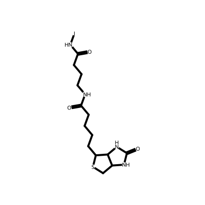 O=C(CCCNC(=O)CCCCC1SCC2NC(=O)NC21)NI